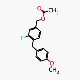 COc1ccc(Cc2[c]cc(COC(C)=O)cc2F)cc1